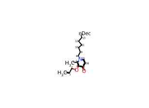 C=CCOc1c(C)n(CCCCCCCCCCCCCCCC)ccc1=O